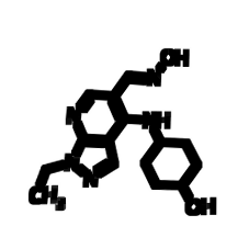 CCn1ncc2c(NC3CCC(O)CC3)c(C=NO)cnc21